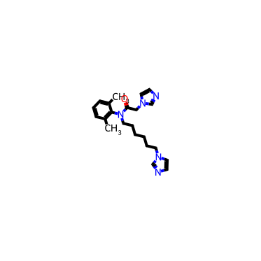 Cc1cccc(C)c1N(CCCCCCn1ccnc1)C(=O)Cn1ccnc1